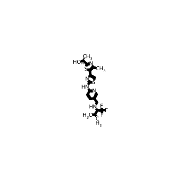 Cc1nc([C@H](C)O)sc1-c1csc(Nc2ccc(CNC(C(C)C)C(F)(F)F)cn2)n1